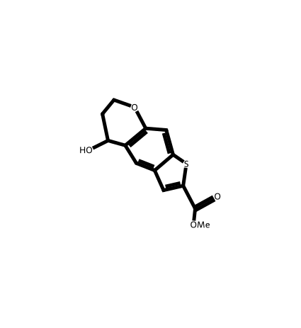 COC(=O)c1cc2cc3c(cc2s1)OCCC3O